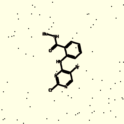 CCC(C)NC(=O)c1ccccc1Nc1nc(Cl)ncc1Br